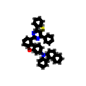 c1ccc(-c2nc(-c3cccc4oc5cc(-n6c7ccccc7c7c8ccccc8ccc76)ccc5c34)nc3c2sc2ccccc23)cc1